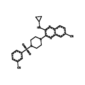 N#Cc1cccc(S(=O)(=O)N2CCN(c3nc4cc(C#N)ccc4nc3NC3CC3)CC2)c1